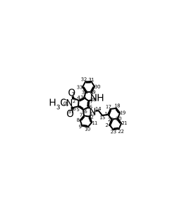 CN1C(=O)c2c(c3c4ccccc4n(CCc4cccc5ccccc45)c3c3[nH]c4ccccc4c23)C1=O